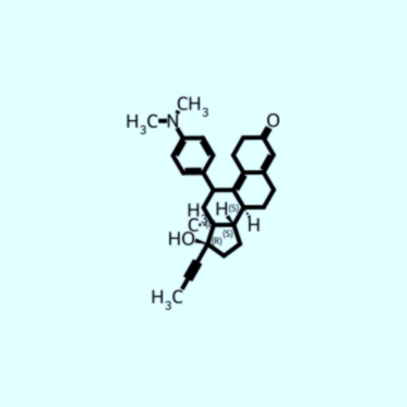 CC#C[C@@]1(O)CC[C@H]2[C@@H]3CCC4=CC(=O)CCC4=C3C(c3ccc(N(C)C)cc3)C[C@@]21C